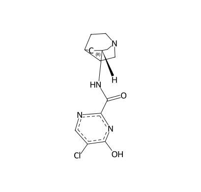 O=C(N[C@@H]1CC2CCN(CC2)C1)c1ncc(Cl)c(O)n1